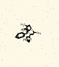 CC12CCC(/C(=C/c3ccccc3)C1=O)C2(C)C.O=C(O)/C=C/c1c[nH]cn1